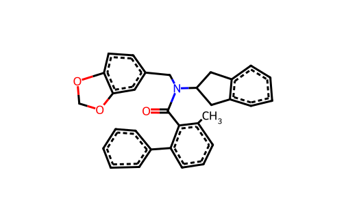 Cc1cccc(-c2ccccc2)c1C(=O)N(Cc1ccc2c(c1)OCO2)C1Cc2ccccc2C1